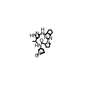 CC(C)c1cc(Nc2nc(N3CCCC3C(=O)Nc3ccc[n+]([O-])c3)nc3c2CCC3)n[nH]1